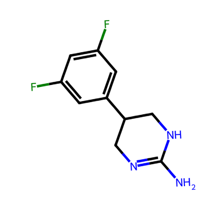 NC1=NCC(c2cc(F)cc(F)c2)CN1